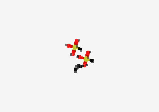 CS(=O)(=O)[O-].CS(=O)(=O)[O-].[K+].[Na+]